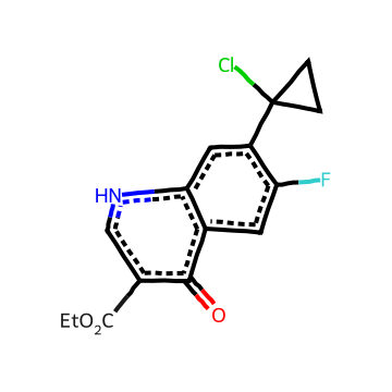 CCOC(=O)c1c[nH]c2cc(C3(Cl)CC3)c(F)cc2c1=O